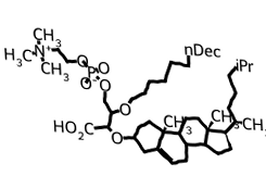 CCCCCCCCCCCCCCCCOC(COP(=O)([O-])OCC[N+](C)(C)C)C(OC1CC[C@@]2(C)C(=CCC3C2CC[C@@]2(C)C3CC[C@@H]2[C@H](C)CCCC(C)C)C1)C(=O)O